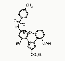 CCOC(=O)c1cc(-c2c(OC)cccc2OC)n(-c2ccc(NS(=O)(=O)c3ccc(C)cc3)cc2C(C)C)n1